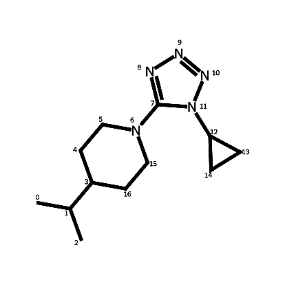 CC(C)C1CCN(c2nnnn2C2CC2)CC1